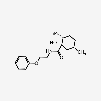 CC(C)[C@@H]1CC[C@@H](C)C[C@@]1(O)C(=O)NCCOc1ccccc1